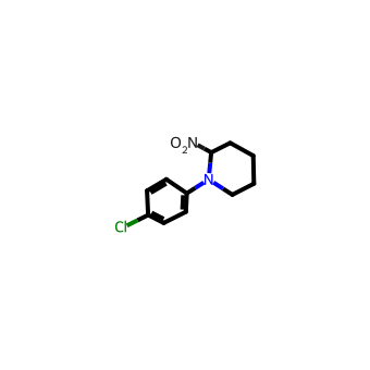 O=[N+]([O-])C1CCCCN1c1ccc(Cl)cc1